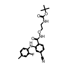 Cc1ccc(Nc2cc(C#N)ccc2C(=O)NOCCNC(=O)OC(C)(C)C)c(F)c1